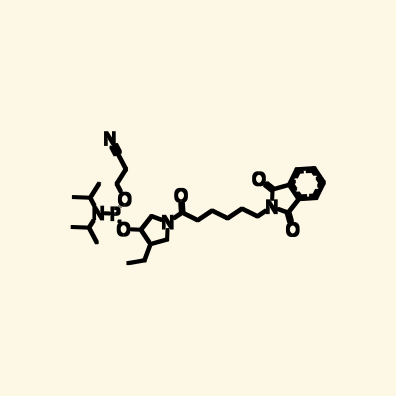 CCC1CN(C(=O)CCCCCN2C(=O)c3ccccc3C2=O)CC1OP(OCCC#N)N(C(C)C)C(C)C